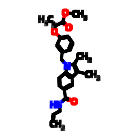 C=CCNC(=O)c1ccc2c(c1)c(C)c(C)n2Cc1cccc(O[C@@H](C)C(=O)OC)c1